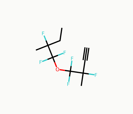 C#CC(C)(F)C(F)(F)OC(F)(F)C(C)(F)CC